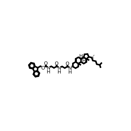 CC(C)CCC[C@@H](C)C1CC[C@H]2[C@@H]3CC=C4C[C@@H](NC(=O)CCNC(=O)CCNC(=O)OCC5c6ccccc6-c6ccccc65)CCC4(C)C3CCC12C